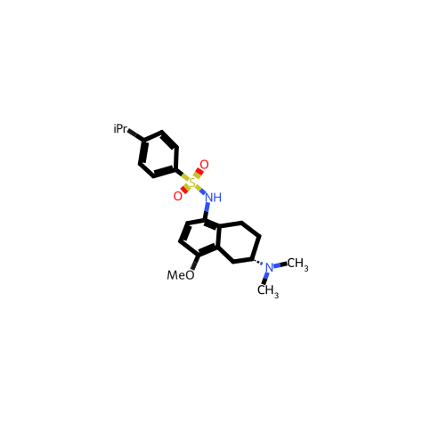 COc1ccc(NS(=O)(=O)c2ccc(C(C)C)cc2)c2c1C[C@@H](N(C)C)CC2